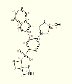 O=S(=O)(c1ccc(N2CC[C@H](O)C2)c(-c2cc3ccccc3[nH]2)c1)N1CCC12CNC2